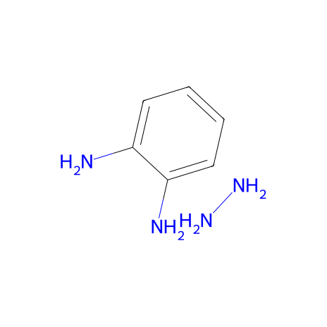 NN.Nc1ccccc1N